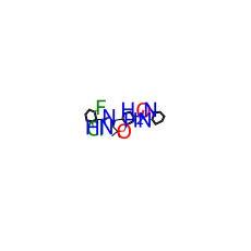 CC1(C)Oc2cc(C(=O)Nc3ccccc3N)ccc2-c2nc(-c3c(F)cccc3Cl)[nH]c21